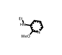 CCNc1c[c]cnc1OC